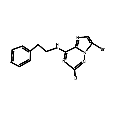 Clc1nc(NCCc2ccccc2)c2ncc(Br)n2n1